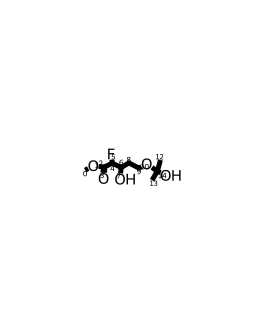 COC(=O)C(F)C(O)CCOC(C)(C)O